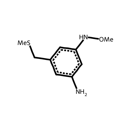 CONc1cc(N)cc(CSC)c1